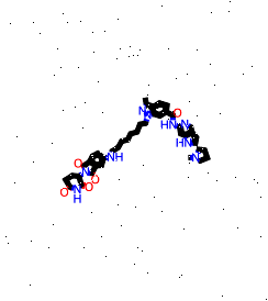 Cc1nn(CCCCCCCCNc2ccc3c(c2)C(=O)N(C2CCC(=O)NC2=O)C3=O)c2cc(C(=O)Nc3cc4[nH]c([C@@H]5CCCN5C)cc4cn3)ccc12